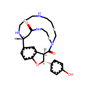 O=C1C[C@H]2NCCCNCCCCN(CCCN1)C(=O)[C@@H]1c3cc2ccc3O[C@H]1c1ccc(O)cc1